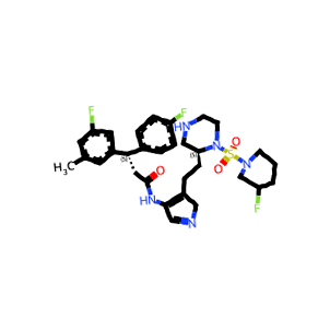 Cc1cc(F)cc([C@@H](CC(=O)NC2=C(CC[C@H]3CNCCN3S(=O)(=O)N3CCCC(F)C3)CN=C2)c2ccc(F)cc2)c1